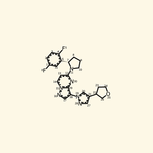 Fc1ccc(F)c([C@@H]2CCCN2c2ccn3ncc(-n4cc(C5CCOC5)cn4)c3n2)c1